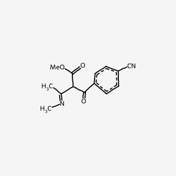 CN=C(C)C(C(=O)OC)C(=O)c1ccc(C#N)cc1